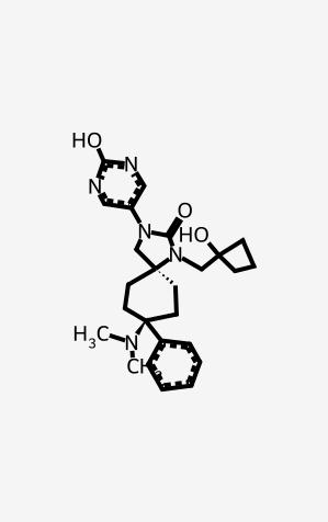 CN(C)[C@]1(c2ccccc2)CC[C@]2(CC1)CN(c1cnc(O)nc1)C(=O)N2CC1(O)CCC1